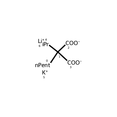 CCCCCC(C(=O)[O-])(C(=O)[O-])C(C)C.[K+].[Li+]